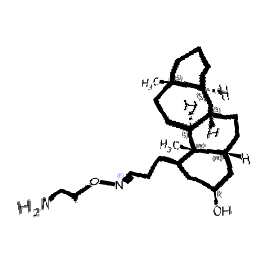 C[C@@]12CCC[C@H]1[C@@H]1CC[C@@H]3C[C@@H](O)CC(CC/C=N/OCCN)[C@]3(C)[C@H]1CC2